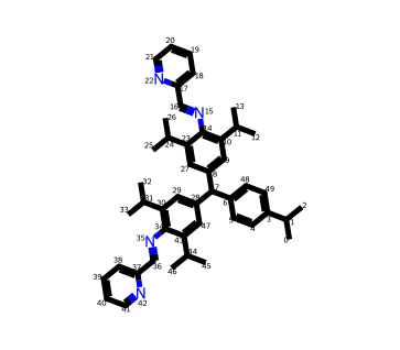 CC(C)c1ccc(C(c2cc(C(C)C)c(N=Cc3ccccn3)c(C(C)C)c2)c2cc(C(C)C)c(N=Cc3ccccn3)c(C(C)C)c2)cc1